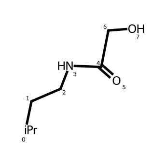 CC(C)CCNC(=O)CO